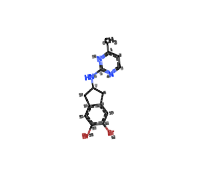 Cc1ccnc(NC2Cc3cc(Br)c(Br)cc3C2)n1